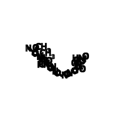 COc1cc(N2C[C@@H](C)N(C(=O)Nc3ccc(N4CCC(CN5CCN(c6ccc7c(c6)C(=O)N([C@@H]6CCC(=O)NC6=O)C7=O)CC5)CC4)nc3)C[C@@H]2C)ccc1C#N